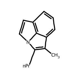 CCCc1c(C)c2cccc3ccn1c32